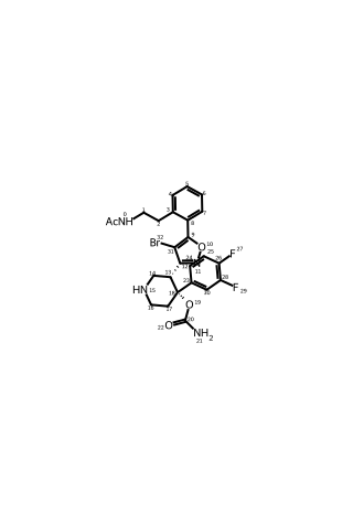 CC(=O)NCCc1ccccc1-c1onc([C@H]2CNCC[C@]2(OC(N)=O)c2ccc(F)c(F)c2)c1Br